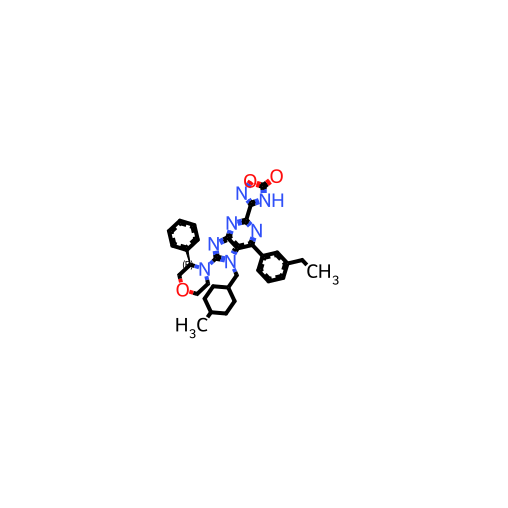 CCc1cccc(-c2nc(-c3noc(=O)[nH]3)nc3nc(N4CCOC[C@H]4c4ccccc4)n(CC4CCC(C)CC4)c23)c1